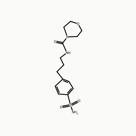 NS(=O)(=O)c1ccc(CCCNC(=O)N2CCOCC2)cc1